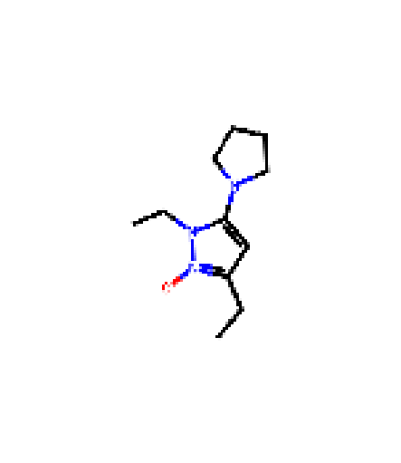 CCc1cc(N2CCCC2)n(CC)[n+]1[O-]